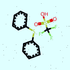 O=S(=O)(O)C(F)(F)F.c1ccc(Sc2ccccc2)cc1